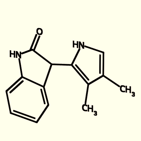 Cc1c[nH]c(C2C(=O)Nc3ccccc32)c1C